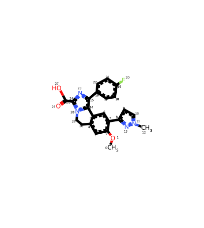 COc1cc2c(cc1-c1ccn(C)n1)-c1c(-c3ccc(F)cc3)nc(C(=O)O)n1CC2